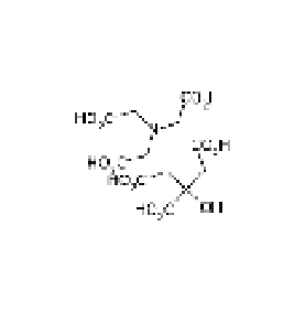 O=C(O)CC(O)(CC(=O)O)C(=O)O.O=C(O)CN(CC(=O)O)CC(=O)O